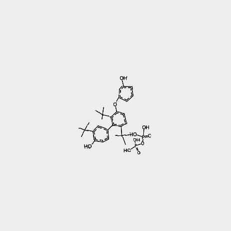 CC(C)(C)c1cc(-c2c(C(C)(C)C)ccc(Oc3cccc(O)c3)c2C(C)(C)C)ccc1O.O=P(O)(O)OP(=O)(O)O